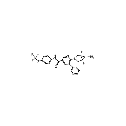 N[C@@H]1[C@H]2CN(c3ncc(C(=O)Nc4ccc(OC(F)(F)Cl)cc4)cc3-c3cncnc3)C[C@@H]12